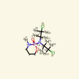 [2H]N1CCCOP1(=O)N(C([2H])([2H])C([2H])([2H])Cl)C([2H])([2H])C([2H])([2H])Cl